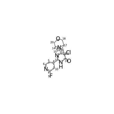 O=c1[nH]c(-c2ccnc(F)c2)nc(N2C3CCC2COC3)c1Cl